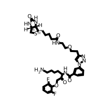 NCCCCC(NC(=O)c1cccc(-n2cc(CCOCCNC(=O)CCCC[C@@H]3SC[C@@H]4NC(=O)N[C@@H]43)nn2)c1)C(=O)COc1c(F)cccc1F